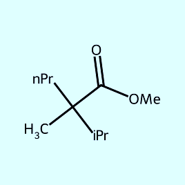 CCCC(C)(C(=O)OC)C(C)C